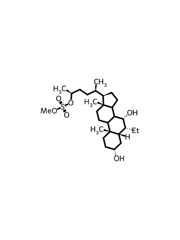 CC[C@H]1[C@@H](O)C2C3CC[C@H]([C@H](C)CC[C@H](C)OS(=O)(=O)OC)[C@@]3(C)CCC2[C@@]2(C)CC[C@@H](O)C[C@@H]12